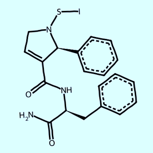 NC(=O)[C@H](Cc1ccccc1)NC(=O)C1=CCN(SI)[C@H]1c1ccccc1